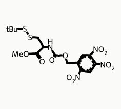 COC(=O)C(CSSC(C)(C)C)NC(=O)OCc1cc([N+](=O)[O-])c([N+](=O)[O-])cc1[N+](=O)[O-]